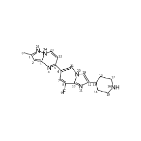 Cc1cc2nc(-c3cc(F)c4nc(C5CCNCC5)cn4c3)ccn2n1